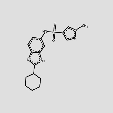 Cn1cc(S(=O)(=O)Nc2ccc3nc(C4CCCCC4)[nH]c3c2)cn1